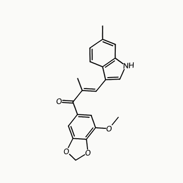 COc1cc(C(=O)C(C)=Cc2c[nH]c3cc(C)ccc23)cc2c1OCO2